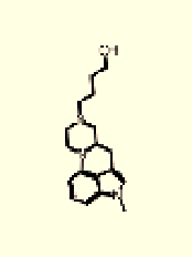 Cn1cc2c3c(cccc31)N1CCN(CCCCO)CC1C2